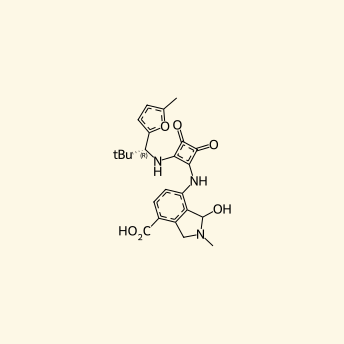 Cc1ccc([C@H](Nc2c(Nc3ccc(C(=O)O)c4c3C(O)N(C)C4)c(=O)c2=O)C(C)(C)C)o1